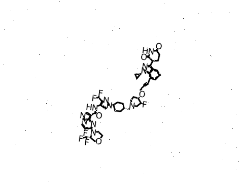 O=C1CCC(c2nn(C3CC3)c3c(C#CCO[C@@H]4CCN(C[C@H]5CC[C@H](n6cc(NC(=O)c7cnn8ccc(N9CCOC[C@@H]9C(F)(F)F)nc78)c(C(F)F)n6)CC5)C[C@@H]4F)cccc23)C(=O)N1